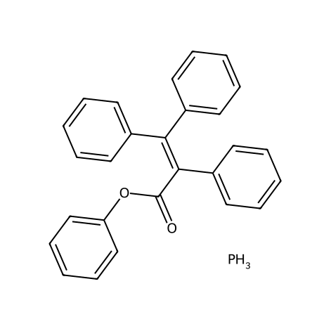 O=C(Oc1ccccc1)C(=C(c1ccccc1)c1ccccc1)c1ccccc1.P